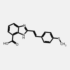 CSc1ccc(C=Cc2nc3cccc(C(=O)O)c3[nH]2)cc1